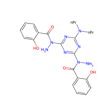 CCCN(CCC)c1nc(N(N)C(=O)c2ccccc2O)nc(N(N)C(=O)c2ccccc2O)n1